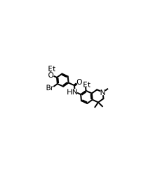 CCOc1ccc(C(=O)Nc2ccc3c(c2CC)CN(C)CC3(C)C)cc1Br